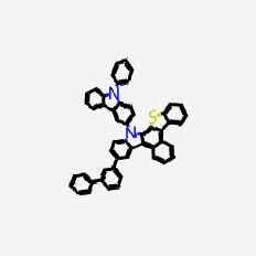 c1ccc(-c2cccc(-c3ccc4c(c3)c3c5ccccc5c5c6ccccc6sc5c3n4-c3ccc4c(c3)c3ccccc3n4-c3ccccc3)c2)cc1